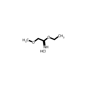 CCOC(=N)COC.Cl